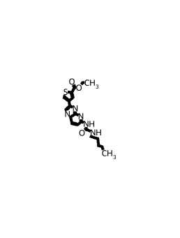 CCCCCNC(=O)Nc1ccc2ncc(-c3csc(C(=O)OCC)c3)nc2n1